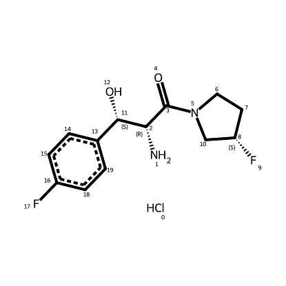 Cl.N[C@@H](C(=O)N1CC[C@H](F)C1)[C@@H](O)c1ccc(F)cc1